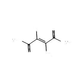 B/C(C(=O)OC)=C(/B)C(=O)OC